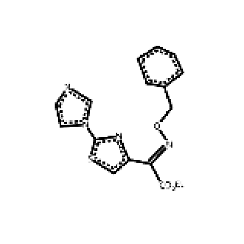 CCOC(=O)C(=NOCc1ccccc1)c1csc(-n2ccnc2)n1